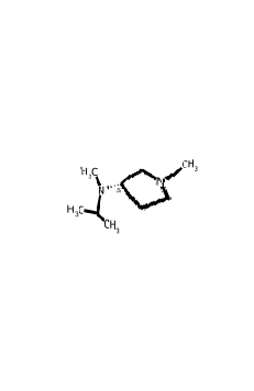 CC(C)N(C)[C@H]1CCN(C)C1